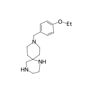 CCOc1ccc(CN2CCC3(CC2)CNCCN3)cc1